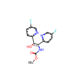 CC(C)(C)OC(=O)N[C@H](c1ccc(F)cn1)[C@@H](O)c1ccc(F)cn1